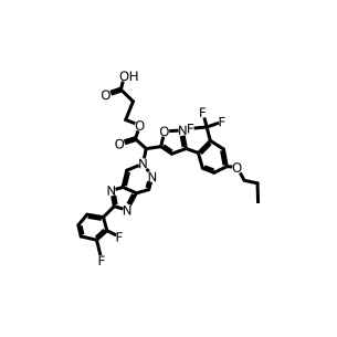 CCCOc1ccc(-c2cc(C(C(=O)OCCC(=O)O)n3cc4nc(-c5cccc(F)c5F)nc-4cn3)on2)c(C(F)(F)F)c1